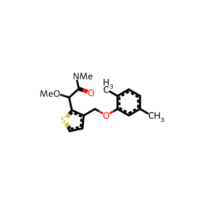 CNC(=O)C(OC)c1sccc1COc1cc(C)ccc1C